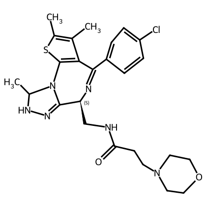 Cc1sc2c(c1C)C(c1ccc(Cl)cc1)=N[C@@H](CNC(=O)CCN1CCOCC1)C1=NNC(C)N12